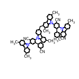 Cc1ccc2c(c1)c1cc(C)ccc1n2-c1cc(-c2cccc(C#N)c2)c(-n2c3ccc(C)cc3c3cc(Cc4cc5c6ccc(C)cc6n(-c6cc(-c7cccc(C#N)c7)c(-n7c8cc(C)ccc8c8ccc(C)cc87)cc6C#N)c5cc4C)ccc32)cc1C#N